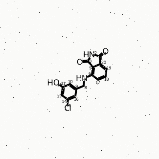 O=C1NC(=O)c2c(NCc3cc(O)cc(Cl)c3)cccc21